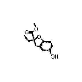 CCC1(C(=O)OC)Cc2cc(O)ccc2O1